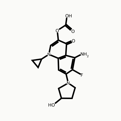 Nc1c(F)c(N2CCC(O)C2)cc2c1c(=O)c(OC(=O)O)cn2C1CC1